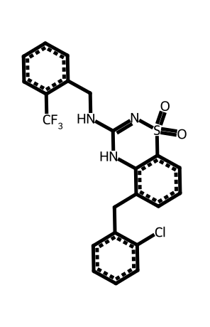 O=S1(=O)N=C(NCc2ccccc2C(F)(F)F)Nc2c(Cc3ccccc3Cl)cccc21